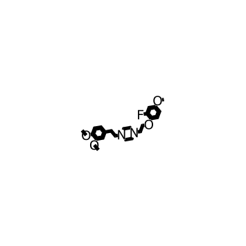 COc1ccc(OCCN2CCN(CCc3ccc(OC)c(OC)c3)CC2)c(F)c1